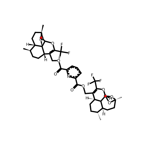 C[C@@H]1CC[C@H]2C(COC(=O)c3cccc(C(=O)OCC4=C(C(F)(F)F)O[C@@H]5O[C@]6(C)CC[C@H]7[C@H](C)CC[C@@H]4[C@@]57OO6)n3)=C(C(F)(F)F)O[C@@H]3O[C@]4(C)CC[C@@H]1[C@]32OO4